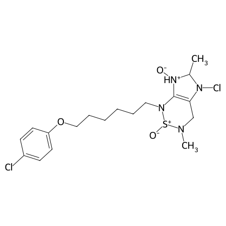 CC1N(Cl)C2=C(N(CCCCCCOc3ccc(Cl)cc3)[S+]([O-])N(C)C2)[NH+]1[O-]